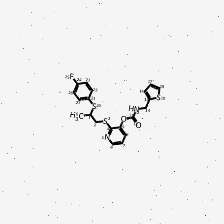 CC(CSc1ncccc1OC(=O)NCc1cccs1)Sc1ccc(F)cc1